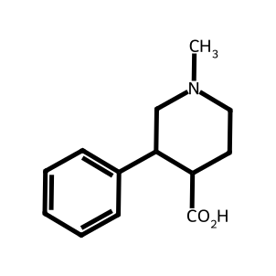 CN1CCC(C(=O)O)C(c2ccccc2)C1